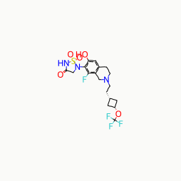 O=C1CN(c2c(O)cc3c(c2F)CN(CC[C@H]2C[C@@H](OC(F)(F)F)C2)CC3)S(=O)(=O)N1